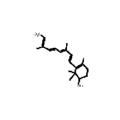 CC(C=CC1=C(C)CCC(C(C)(C)C)C1(C)C)=CC=CC(C)=CC(=O)O